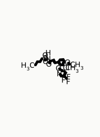 CCCCCS(=O)(=O)NC(=O)C=Cc1ccc(OC(C)C)cc1Oc1ncc(C(F)(F)F)cc1Cl